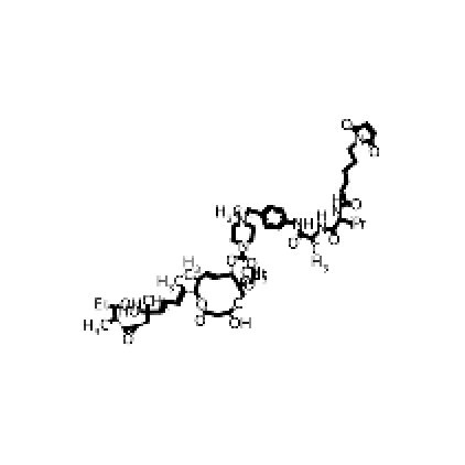 CCO[C@]1(C)CC[C@@H](O)CC(=O)O[C@H](/C(C)=C/C=C/C(C)(O)C[C@H]2O[C@@H]2C(C)C(O)CC)[C@@H](C)/C=C/[C@@H]1OC(=O)N1CC[N+](C)(Cc2ccc(NC(=O)C(C)NC(=O)C(NC(=O)CCCCCN3C(=O)C=CC3=O)C(C)C)cc2)CC1